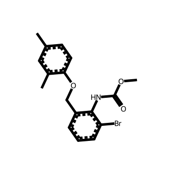 COC(=O)Nc1c(Br)cccc1COc1ccc(C)cc1C